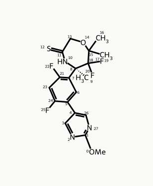 COc1ncc(-c2cc([C@@]3(C)NC(=S)COC(C)(C)C3(F)F)c(F)cc2F)cn1